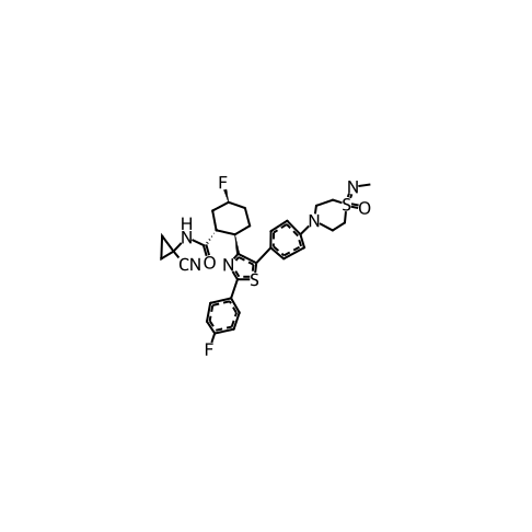 CN=S1(=O)CCN(c2ccc(-c3sc(-c4ccc(F)cc4)nc3[C@@H]3CC[C@H](F)C[C@H]3C(=O)NC3(C#N)CC3)cc2)CC1